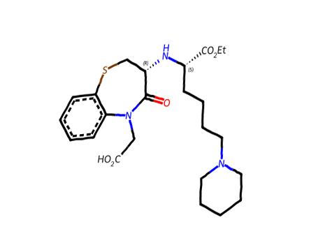 CCOC(=O)[C@H](CCCCN1CCCCC1)N[C@H]1CSc2ccccc2N(CC(=O)O)C1=O